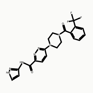 O=C(Nc1cc[nH]n1)c1ccc(N2CCN(C(=O)c3ccccc3C(F)(F)F)CC2)nn1